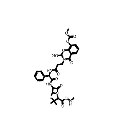 CNOC(=O)C1N2C(=O)C(NC(=O)C(NC(=O)CCN3C(=O)c4cccc(OC(=O)OC)c4OC3O)c3ccccc3)C2SC1(C)C